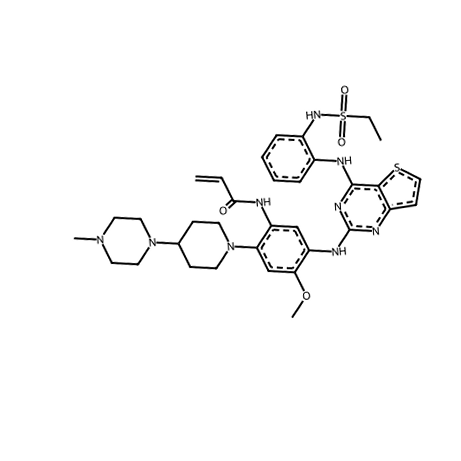 C=CC(=O)Nc1cc(Nc2nc(Nc3ccccc3NS(=O)(=O)CC)c3sccc3n2)c(OC)cc1N1CCC(N2CCN(C)CC2)CC1